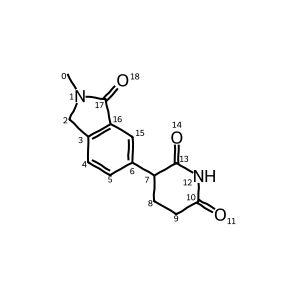 CN1Cc2ccc(C3CCC(=O)NC3=O)cc2C1=O